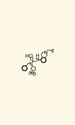 Cl.O=C(CNc1cccc2c1CCN(CC1CC1)C2)N(Cc1ccccc1)C1CCS(=O)(=O)C1